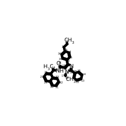 CCCc1ccc(-c2nc(-c3ccccc3)n(CC)c2C(=O)NC(C)c2cccc3ccccc23)cc1